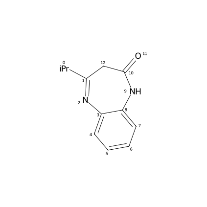 CC(C)C1=Nc2ccccc2NC(=O)C1